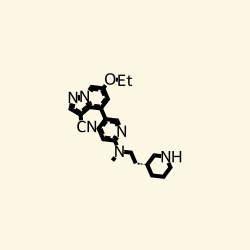 CCOc1cc(-c2ccc(N(C)CC[C@H]3CCCNC3)nc2)c2c(C#N)cnn2c1